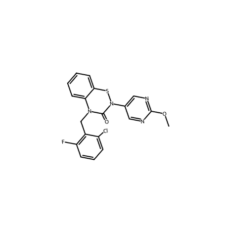 COc1ncc(N2Sc3ccccc3N(Cc3c(F)cccc3Cl)C2=O)cn1